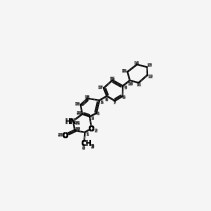 CC1Oc2cc(-c3ccc(C4CCCCC4)cc3)ccc2NC1=O